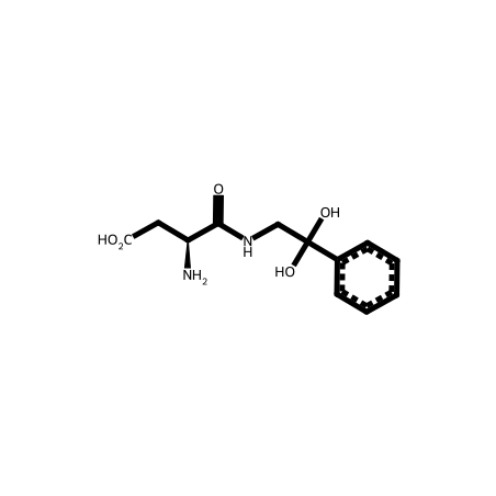 N[C@@H](CC(=O)O)C(=O)NCC(O)(O)c1ccccc1